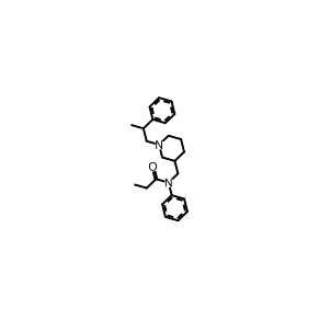 CCC(=O)N(CC1CCCN(CC(C)c2ccccc2)C1)c1ccccc1